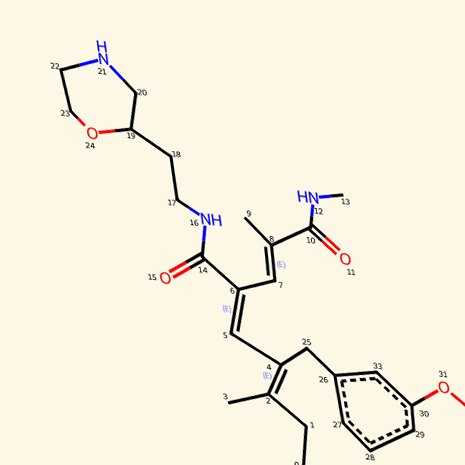 CC/C(C)=C(/C=C(\C=C(/C)C(=O)NC)C(=O)NCCC1CNCCO1)Cc1cccc(OC)c1